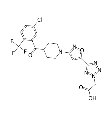 O=C(O)Cn1nnc(-c2cc(N3CCC(C(=O)c4cc(Cl)ccc4C(F)(F)F)CC3)no2)n1